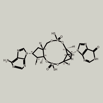 Nc1ncnc2c1ncn2[C@@H]1C[C@@H]2COP(=O)(S)O[C@@H]3[C@H](O)[C@H](C[C@H]3n3cnc4c(=O)[nH]cnc43)OP(=O)(S)O[C@H]2[C@H]1F